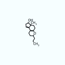 CCCC1CCC2=C(CCC3(C)C2=CC[C@@H]3O)O1